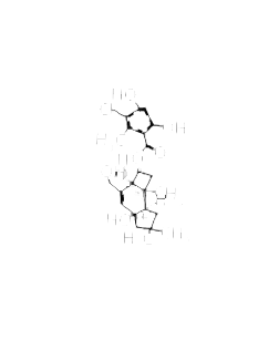 Cc1c(Cl)c(O)cc(O)c1C(=O)O[C@@H]1C[C@]2(C)[C@H]3CC(C)(C)C[C@@]3(O)C=C(CO)[C@]12O